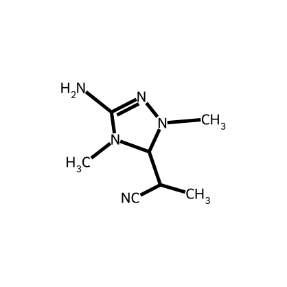 CC(C#N)C1N(C)N=C(N)N1C